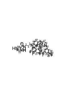 O=C(NCCCn1cc(-c2c(C(F)(F)F)cccc2C(F)(F)F)c2cc(CN3CCN(Cc4cc(C(F)(F)F)cc(C(F)(F)F)c4)CC3)ccc21)C1CNCCN1